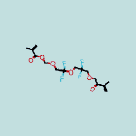 C=C(C)C(=O)COCC(F)(F)COC(F)(F)COCOC(=O)C(=C)C